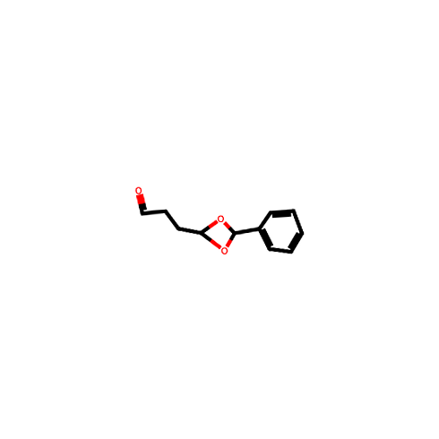 O=CCCC1OC(c2ccccc2)O1